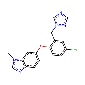 Cn1cnc2ccc(Oc3ccc(Cl)cc3Cn3cncn3)cc21